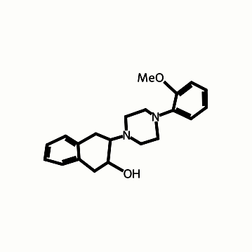 COc1ccccc1N1CCN(C2Cc3ccccc3CC2O)CC1